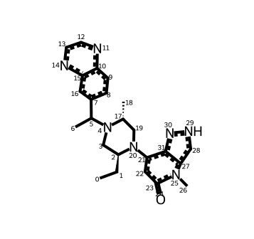 CC[C@H]1CN(C(C)c2ccc3nccnc3c2)[C@H](C)CN1c1cc(=O)n(C)c2c[nH]nc12